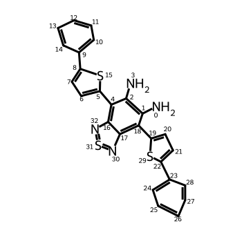 Nc1c(N)c(-c2ccc(-c3ccccc3)s2)c2c(c1-c1ccc(-c3ccccc3)s1)N=S=N2